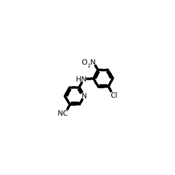 N#Cc1ccc(Nc2cc(Cl)ccc2[N+](=O)[O-])nc1